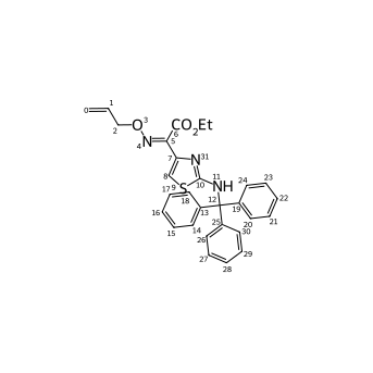 C=CCO/N=C(\C(=O)OCC)c1csc(NC(c2ccccc2)(c2ccccc2)c2ccccc2)n1